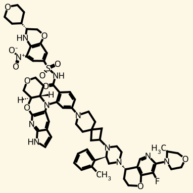 Cc1ccccc1[C@@H]1CN([C@H]2CCOc3c2cnc(N2CCOC[C@@H]2C)c3F)CCN1C1CC2(CCN(c3ccc(C(=O)NS(=O)(=O)c4cc5c(c([N+](=O)[O-])c4)N[C@H](C4CCOCC4)CO5)c(N4c5cc6cc[nH]c6nc5O[C@H]5COCC[C@@H]54)c3)CC2)C1